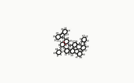 c1ccc(-c2ccccc2-c2ccccc2N(c2ccc(-n3c4ccccc4c4ccccc43)cc2)c2ccc3c(c2)C2(c4ccccc4-c4ccccc42)c2cccc4c5ccccc5n-3c24)cc1